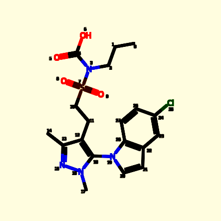 CCCN(C(=O)O)S(=O)(=O)CCc1c(C)nn(C)c1-n1ccc2cc(Cl)ccc21